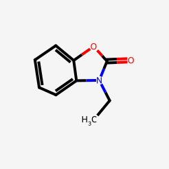 CCn1c(=O)oc2ccccc21